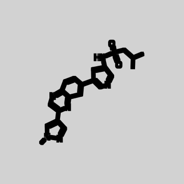 CC(C)CS(=O)(=O)Nc1cncc(-c2ccc3ncc(-c4cnn(C)c4)nc3c2)c1